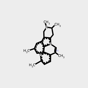 C/C(=C/n1c2c(c3cc(C)ccc31)CN(C)C(C)C2)c1ccc(C)nc1